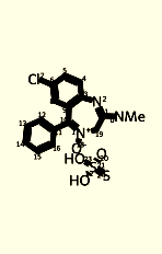 CNC1=Nc2ccc(Cl)cc2C(c2ccccc2)=[N+]([O-])C1.O=S(O)(O)=S